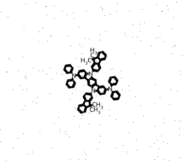 CC1(C)c2ccccc2-c2ccc(-n3c4ccc(N(c5ccccc5)c5ccccc5)cc4c4cc5c(cc43)c3cc(N(c4ccccc4)c4ccccc4)ccc3n5-c3ccc4c(c3)C(C)(C)c3ccccc3-4)cc21